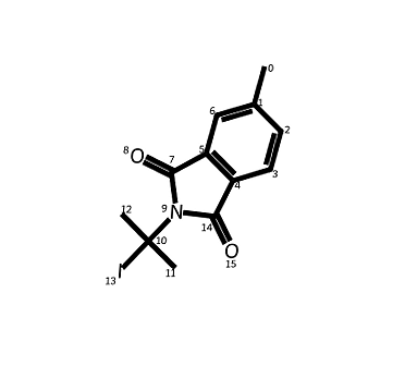 Cc1ccc2c(c1)C(=O)N(C(C)(C)I)C2=O